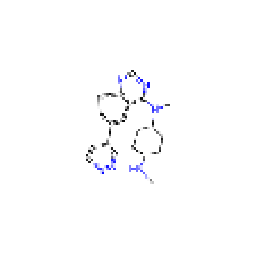 CNC1CCC(N(C)c2ncnc3ccc(-c4ccnnc4)cc23)CC1